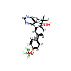 CC(C)(C)C(O)(c1ccc(-c2ccc(OC(F)(F)F)cc2)cc1)c1cncnc1